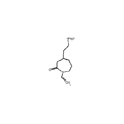 C=CN1CCCC(CCCCCCCCC)CC1=O